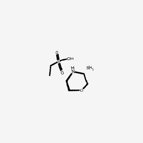 C1COCCN1.CCS(=O)(=O)O.N